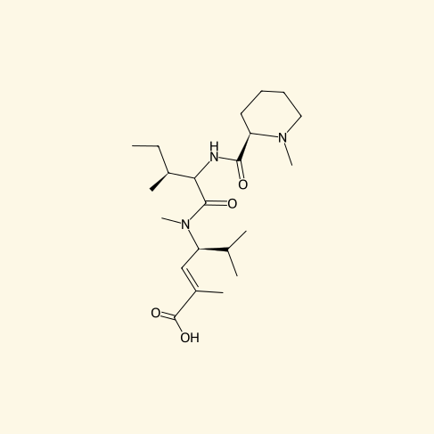 CC[C@H](C)C(NC(=O)[C@H]1CCCCN1C)C(=O)N(C)[C@H](/C=C(\C)C(=O)O)C(C)C